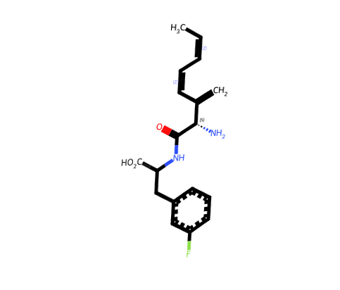 C=C(/C=C\C=C/C)[C@H](N)C(=O)NC(Cc1cccc(F)c1)C(=O)O